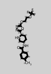 Cc1ccc(C(=O)N[C@H]2CC[C@H](c3nnc(OCCOC(F)(F)F)o3)NC2)cc1